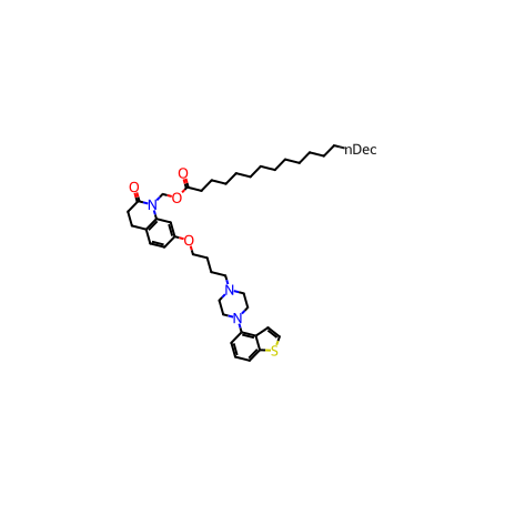 CCCCCCCCCCCCCCCCCCCCCCC(=O)OCN1C(=O)CCc2ccc(OCCCCN3CCN(c4cccc5sccc45)CC3)cc21